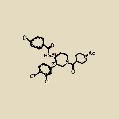 CC(=O)N1CCC(C(=O)N2CC[C@@H](NC(=O)c3ccc(Cl)cc3)[C@H](c3ccc(Cl)c(Cl)c3)C2)CC1